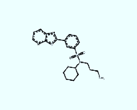 NCCCN(C1CCCCC1)S(=O)(=O)c1cccc(-c2nc3cccnc3s2)c1